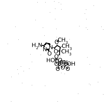 CO[C@H]1[C@H](n2ccc(N)nc2=O)O[C@](C)(COP(=O)(O)OP(=O)(O)OP(=O)(O)O)[C@H]1C